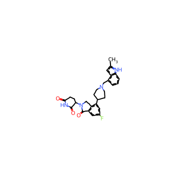 Cc1cc2c(CN3CCC(c4cc(F)cc5c4CN(C4CCC(=O)NC4=O)C5=O)CC3)cccc2[nH]1